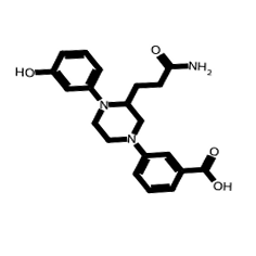 NC(=O)CCC1CN(c2cccc(C(=O)O)c2)CCN1c1cccc(O)c1